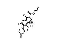 C=CCOC(=O)c1c[nH]c2c(CC)c(N3CCNCC3)c(F)cc2c1=O.Cl